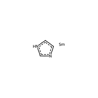 [Sm].c1c[nH]cn1